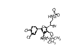 C[Si](C)(C)Oc1c(C(Br)CCN[SH](=O)=O)oc(-c2ccc(Cl)c(Cl)c2)c1O